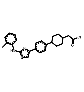 O=C(O)CC1CCC(c2ccc(-c3csc(Nc4ccccc4F)n3)cc2)CC1